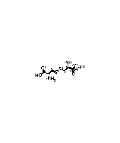 N[C@@H](CSSC[C@H](N)C(=O)O)C(=O)O.[LiH]